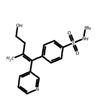 CC(CCO)=C(c1ccc(S(=O)(=O)NC(C)(C)C)cc1)c1cccnc1